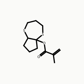 C=C(C)C(=O)OC12CCCC1SCCCS2